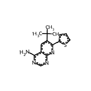 CC(C)(C)c1cc2c(N)ncnc2nc1-c1cccs1